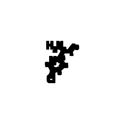 C=C[C@H](N)c1ccc(Cl)cn1